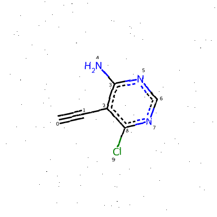 C#Cc1c(N)ncnc1Cl